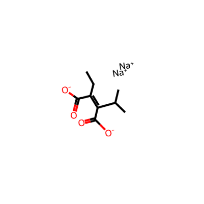 CC/C(C(=O)[O-])=C(/C(=O)[O-])C(C)C.[Na+].[Na+]